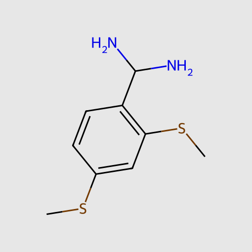 CSc1ccc(C(N)N)c(SC)c1